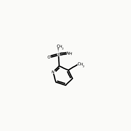 Cc1cccnc1[S@](C)(=N)=O